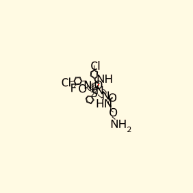 NCCOCCNC(=O)N1CCN(C(=O)[C@]2(Sc3ccccc3)CC(=O)N(Cc3ccc(Cl)c(F)c3)[C@H]2c2c[nH]c3cc(Cl)ccc23)CC1